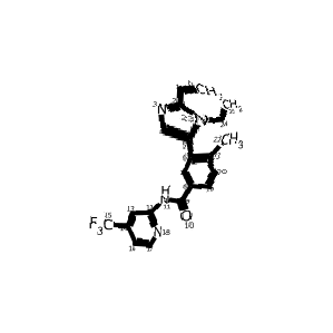 C=Cc1ncc(-c2cc(C(=O)Nc3cc(C(F)(F)F)ccn3)ccc2C)n1C=C